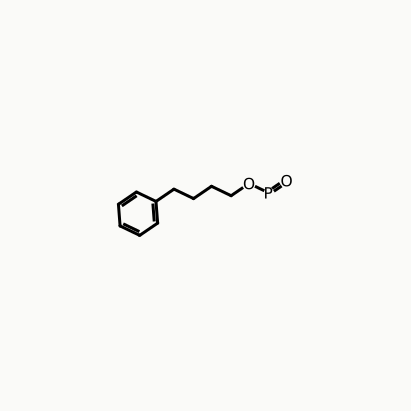 O=POCCCCc1ccccc1